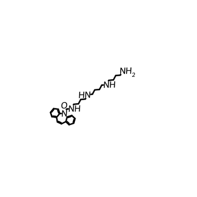 NCCCCNCCCCNCCCCNC(=O)N1c2ccccc2C=Cc2ccccc21